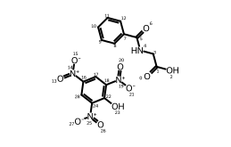 O=C(O)CNC(=O)c1ccccc1.O=[N+]([O-])c1cc([N+](=O)[O-])c(O)c([N+](=O)[O-])c1